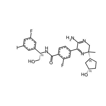 CC1([C@@H]2CC[C@H](O)C2)CN=C(N)C(c2ccc(C(=O)N[C@H](CO)c3cc(F)cc(I)c3)c(F)c2)=N1